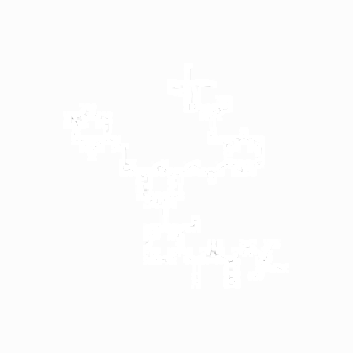 C[C@@H](NC(=O)OC(C)(C)C)c1cccc(-c2cc(COc3ccccc3CC(=O)OC(C)(C)C)cc(OCc3ccncn3)c2)c1F